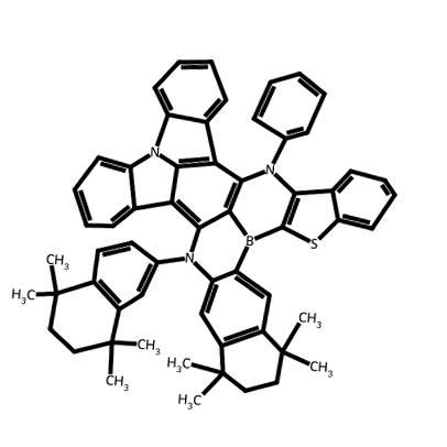 CC1(C)CCC(C)(C)c2cc(N3c4cc5c(cc4B4c6sc7ccccc7c6N(c6ccccc6)c6c4c3c3c4ccccc4n4c7ccccc7c6c34)C(C)(C)CCC5(C)C)ccc21